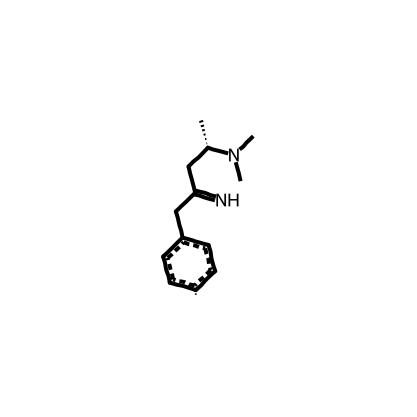 C[C@@H](CC(=N)Cc1cc[c]cc1)N(C)C